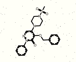 CS(=O)(=O)N1CCN(c2cnn(-c3ccccc3)c(=O)c2OCc2ccccc2)CC1